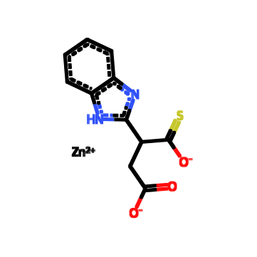 O=C([O-])CC(C([O-])=S)c1nc2ccccc2[nH]1.[Zn+2]